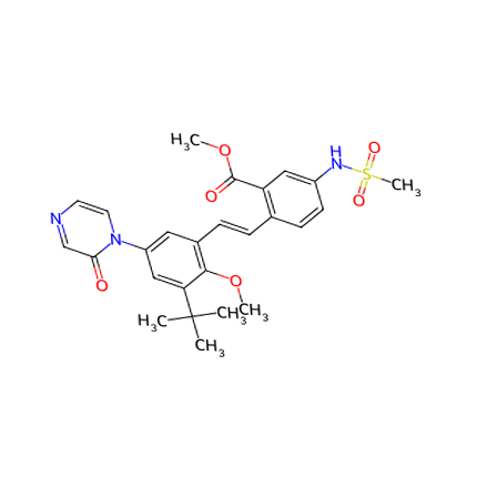 COC(=O)c1cc(NS(C)(=O)=O)ccc1/C=C/c1cc(-n2ccncc2=O)cc(C(C)(C)C)c1OC